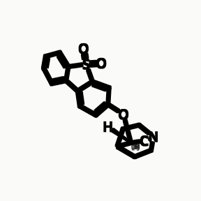 O=S1(=O)c2ccccc2-c2ccc(O[C@@H]3CN4CCC3CC4)cc21